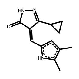 Cc1cc(C=C2C(=O)NN=C2C2CC2)[nH]c1C